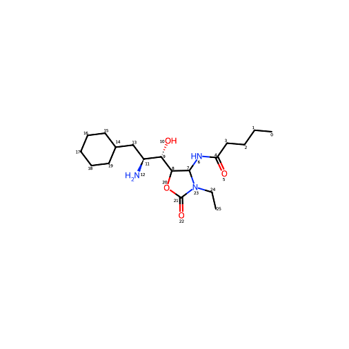 CCCCC(=O)NC1C([C@@H](O)[C@@H](N)CC2CCCCC2)OC(=O)N1CC